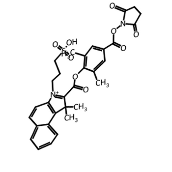 Cc1cc(C(=O)ON2C(=O)CCC2=O)cc(C)c1OC(=O)C1=[N+](CCCS(=O)(=O)O)c2ccc3ccccc3c2C1(C)C